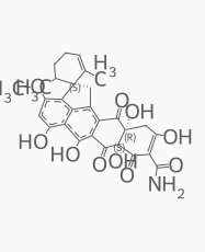 COc1cc(O)c2c(O)c3c(c4c2c1[C@]1(C4)C(C)=CCCC1C)C(=O)[C@@]1(O)CC(O)=C(C(N)=O)C(=O)[C@@]1(O)C3=O